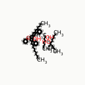 CCCCCCC(C)O.CCCCCCC(O)C(CC)CCCC.CCCCCCCCCCCCC(CCCCCCCCCC)(Oc1ccccc1)C(O)(CC=Cc1ccccc1)Cc1ccccc1